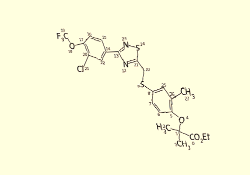 CCOC(=O)C(C)(C)Oc1ccc(SCc2nc(-c3ccc(OC(F)(F)F)c(Cl)c3)ns2)cc1C